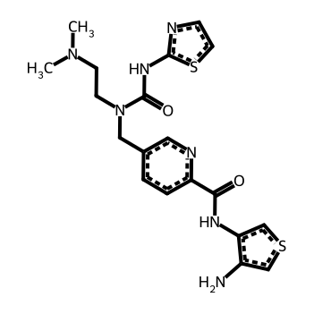 CN(C)CCN(Cc1ccc(C(=O)Nc2cscc2N)nc1)C(=O)Nc1nccs1